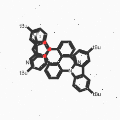 CC(C)(C)c1ccc2c(c1)c1cc(C(C)(C)C)ccc1n2-c1cccc(C#N)c1-c1c(-c2ccc(C(F)(F)F)cc2C#N)cccc1-n1c2ccc(C(C)(C)C)cc2c2cc(C(C)(C)C)ccc21